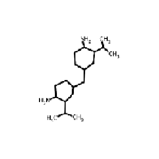 CC(C)C1CC(CC2CCC(N)C(C(C)C)C2)CCC1N